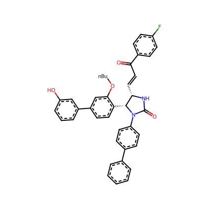 CCCCOc1cc(-c2cccc(O)c2)ccc1[C@@H]1[C@H](/C=C/C(=O)c2ccc(F)cc2)NC(=O)N1c1ccc(-c2ccccc2)cc1